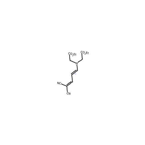 CCOC(=O)CN(/C=C/C=C(C#N)C#N)CC(=O)OCC